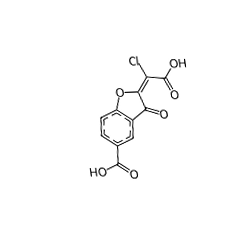 O=C(O)C(Cl)=C1Oc2ccc(C(=O)O)cc2C1=O